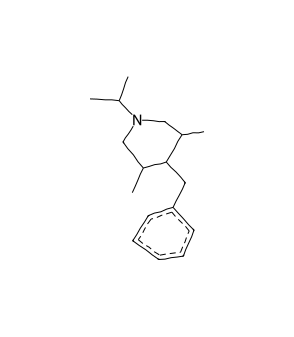 CC1CN(C(C)C)CC(C)C1Cc1ccccc1